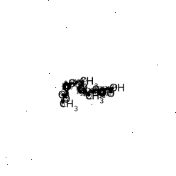 CCOC(=O)Cc1cccc(OCCN(C)c2cccc(N(C)CCOc3cccc(CC(=O)O)c3)n2)c1